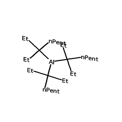 CCCCC[C](CC)(CC)[Al]([C](CC)(CC)CCCCC)[C](CC)(CC)CCCCC